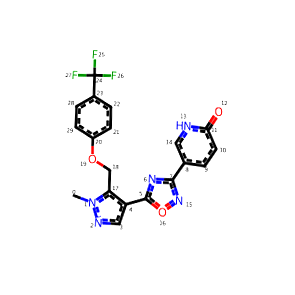 Cn1ncc(-c2nc(-c3ccc(=O)[nH]c3)no2)c1COc1ccc(C(F)(F)F)cc1